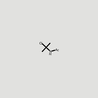 CC(=O)NC(C)(C)Cl